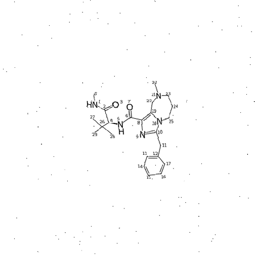 CNC(=O)[C@@H](NC(=O)c1nc(Cc2ccccc2)n2c1CN(C)CCC2)C(C)(C)C